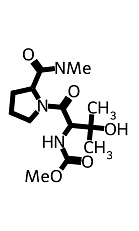 CNC(=O)C1CCCN1C(=O)C(NC(=O)OC)C(C)(C)O